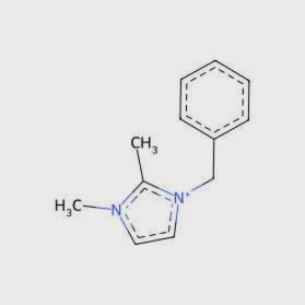 Cc1n(C)cc[n+]1Cc1ccccc1